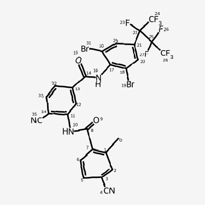 Cc1cc(C#N)ccc1C(=O)Nc1cc(C(=O)Nc2c(Br)cc(C(F)(C(F)(F)F)C(F)(F)C(F)(F)F)cc2Br)ccc1C#N